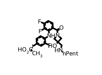 CC(=O)O.CCCCCNCC1(O)CN(C(=O)c2ccc(F)c(F)c2Nc2ccc(I)cc2F)C1